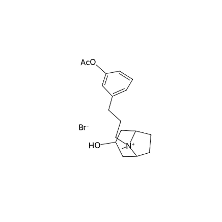 CC(=O)Oc1cccc(CCC[N+]2(C)C3CCC2CC(O)C3)c1.[Br-]